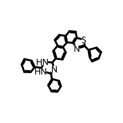 c1ccc(C2=NC(c3ccc4c(ccc5ccc6sc(-c7ccccc7)nc6c54)c3)NC(c3ccccc3)N2)cc1